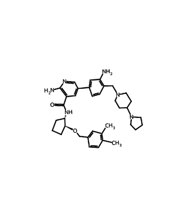 Cc1ccc(CO[C@H]2CCC[C@@H]2NC(=O)c2cc(-c3ccc(CN4CCC(N5CCCC5)CC4)c(N)c3)cnc2N)cc1C